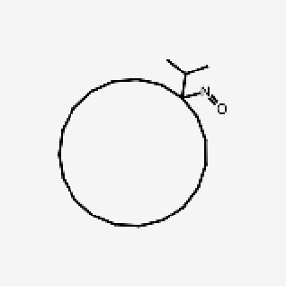 CC(C)C1(N=O)CCCCCCCCCCCCCCCCCC1